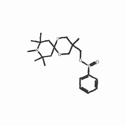 CN1C(C)(C)CC2(CC1(C)C)OCC(C)(COS(=O)c1ccccc1)CO2